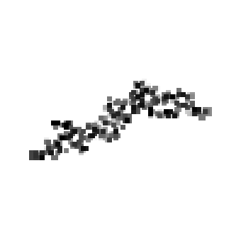 CO/N=c1/c2nc(-c3cccc(-c4cccc5c4CC[C@@H]5Oc4nc(OC)c(CN5CC[C@@H](O)C5)cc4Cl)c3Cl)oc2c(C#N)cn1CCN1CC[C@@H](C(=O)O)C1